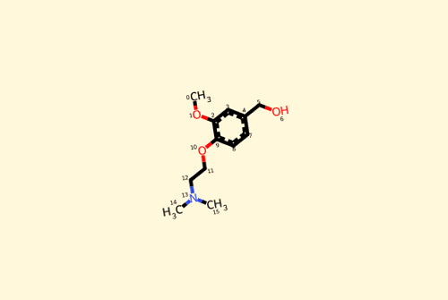 COc1cc(CO)ccc1OCCN(C)C